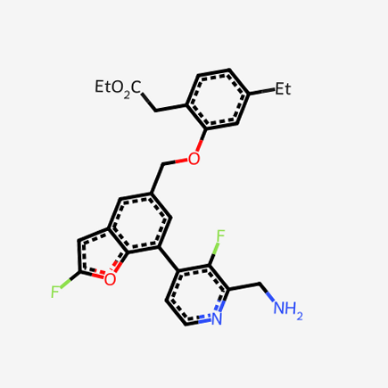 CCOC(=O)Cc1ccc(CC)cc1OCc1cc(-c2ccnc(CN)c2F)c2oc(F)cc2c1